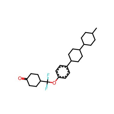 CC1CCC(C2CCC(c3ccc(OC(F)(F)C4CCC(=O)CC4)cc3)CC2)CC1